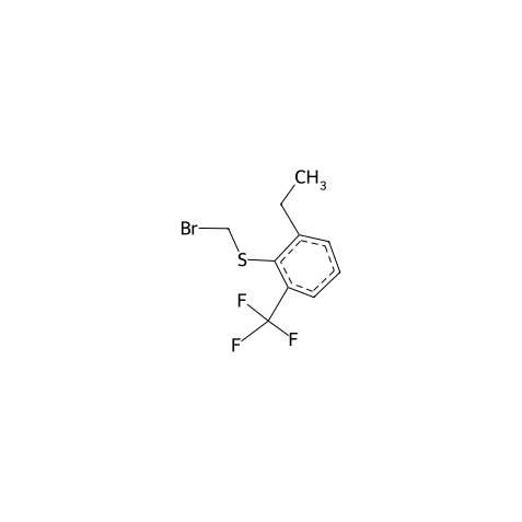 CCc1cccc(C(F)(F)F)c1SCBr